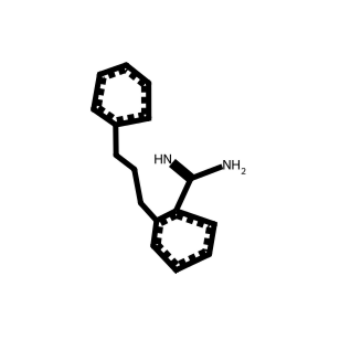 N=C(N)c1cc[c]cc1CCCc1ccccc1